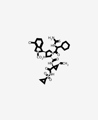 C=C[C@@H]1C[C@]1(NC(=O)[C@@H]1C[C@@H](C2c3cccc(Cl)c3CN2C(=O)O)CN1C(=O)C(NC(N)=S)C1CCCCC1)C(=O)NS(=O)(=O)C1CC1